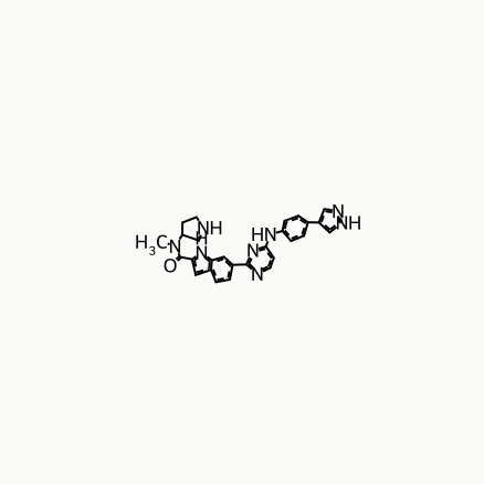 CN(C(=O)c1cc2ccc(-c3nccc(Nc4ccc(-c5cn[nH]c5)cc4)n3)cc2[nH]1)C1CCNC1